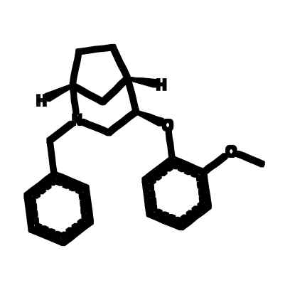 COc1ccccc1O[C@H]1CN(Cc2ccccc2)[C@@H]2CC[C@H]1C2